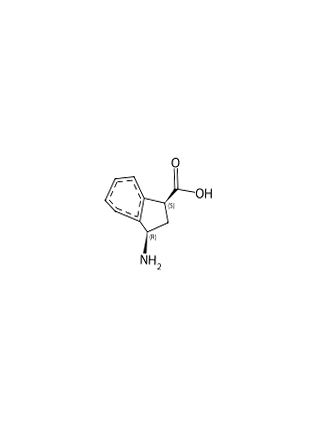 N[C@@H]1C[C@H](C(=O)O)c2ccccc21